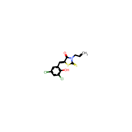 C=CCN1C(=O)C(=Cc2cc(Cl)cc(Cl)c2O)SC1=S